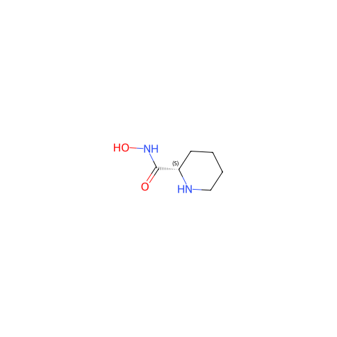 O=C(NO)[C@@H]1CCCCN1